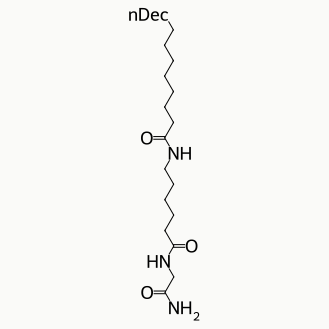 CCCCCCCCCCCCCCCCCC(=O)NCCCCCC(=O)NCC(N)=O